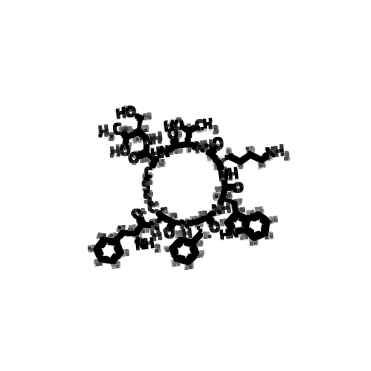 CC(O)C1NC(=O)[C@H](CCCCN)NC(=O)[C@@H](Cc2c[nH]c3ccccc23)NC(=O)[C@H](Cc2ccccc2)NC(=O)[C@@H](NC(=O)[C@H](N)Cc2ccccc2)CSSC[C@@H](C(=O)N[C@H](CO)C(C)O)NC1=O